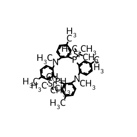 Cc1ccc2c(c1)P([Si](C)(C)C)c1cc(C)ccc1N(C)c1ccc(C)cc1[PH](C)([Si](C)(C)C)c1cc(C)ccc1N2C